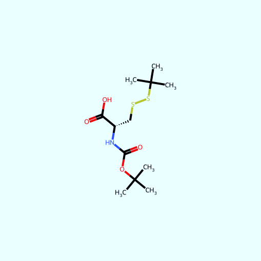 CC(C)(C)OC(=O)N[C@@H](CSSC(C)(C)C)C(=O)O